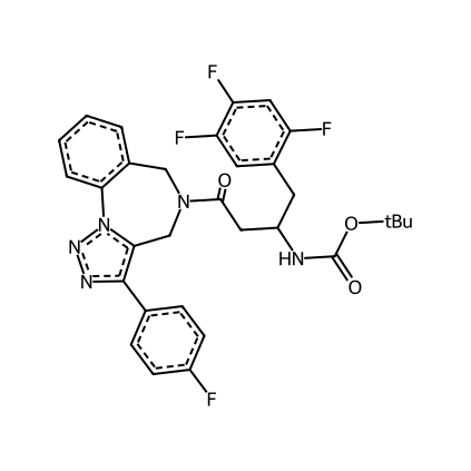 CC(C)(C)OC(=O)NC(CC(=O)N1Cc2ccccc2-n2nnc(-c3ccc(F)cc3)c2C1)Cc1cc(F)c(F)cc1F